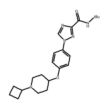 CC(C)(C)NC(=O)c1ncn(-c2ccc(OC3CCN(C4CCC4)CC3)cc2)n1